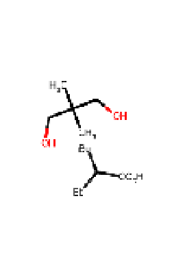 CC(C)(CO)CO.CCCCC(CC)C(=O)O